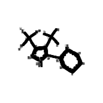 CC(C)(C)c1c(C(F)(F)F)n[nH]c1-c1ccccn1